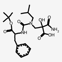 CC(C)CN(CC(O)(C(N)=O)C(=O)O)C(=O)NC(Cc1ccccc1)C(=O)OC(C)(C)C